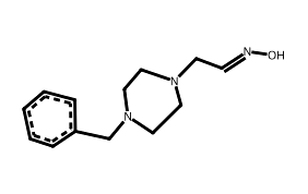 O/N=C/CN1CCN(Cc2ccccc2)CC1